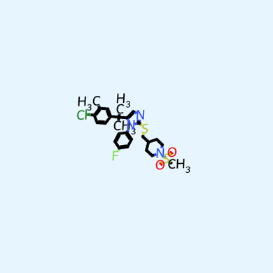 Cc1cc(C(C)(C)c2cnc(SCC3CCN(S(C)(=O)=O)CC3)n2-c2ccc(F)cc2)ccc1Cl